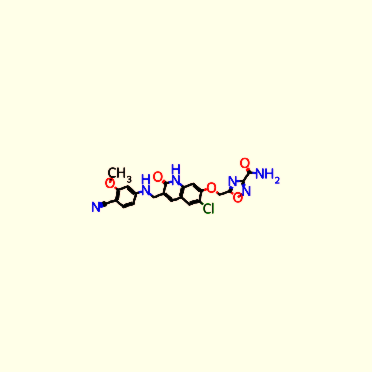 COc1cc(NCc2cc3cc(Cl)c(OCc4nc(C(N)=O)no4)cc3[nH]c2=O)ccc1C#N